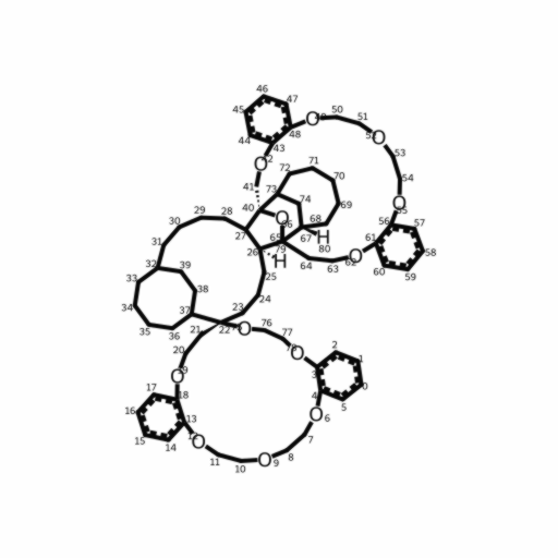 c1ccc2c(c1)OCCOCCOc1ccccc1OCC[C@@]1(CCC[C@H]3C(CCCCC4CCCCC1CC4)[C@]14COc5ccccc5OCCOCCOc5ccccc5OCCC3(O1)[C@H]1CCCCCC4C1)OCCO2